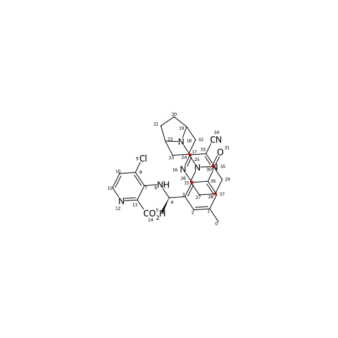 Cc1cc([C@@H](C)Nc2c(Cl)ccnc2C(=O)O)c2nc(N3C4CCC3CC(N3CCCCC3=O)C4)c(C#N)nc2c1